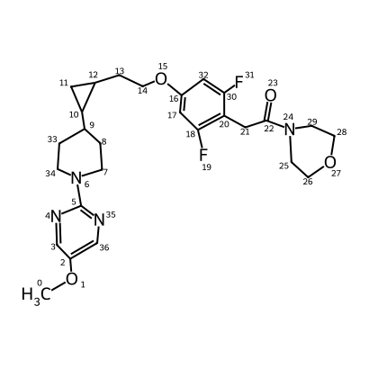 COc1cnc(N2CCC(C3CC3CCOc3cc(F)c(CC(=O)N4CCOCC4)c(F)c3)CC2)nc1